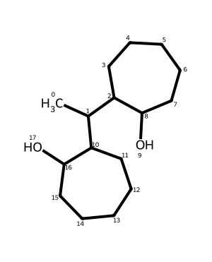 CC(C1CCCCCC1O)C1CCCCCC1O